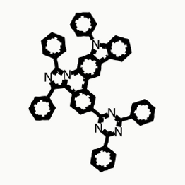 c1ccc(-c2nc(-c3ccccc3)nc(-c3ccc4c(c3)c3cc5c6ccccc6n(-c6ccccc6)c5cc3n3c(-c5ccccc5)nc(-c5ccccc5)c43)n2)cc1